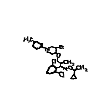 C=C(COC1CCN(c2ccc(C)cc2)CC1CC)/C(=N\OC(=C)C1CC1)c1c(Cl)cccc1Cl